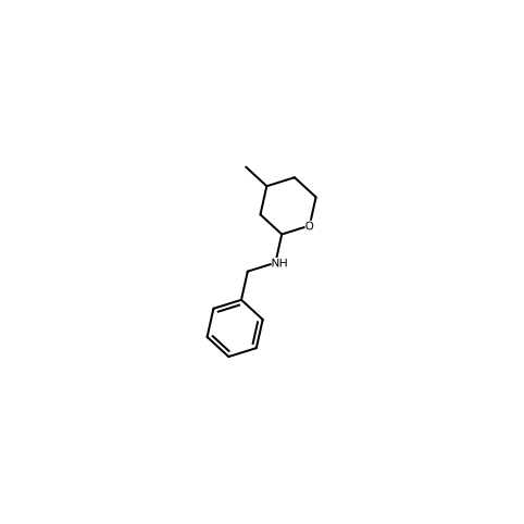 CC1CCOC(NCc2ccccc2)C1